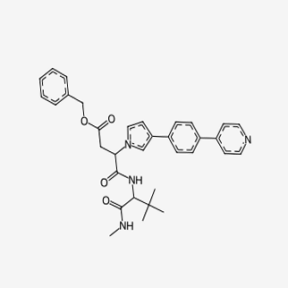 CNC(=O)C(NC(=O)C(CC(=O)OCc1ccccc1)n1ccc(-c2ccc(-c3ccncc3)cc2)c1)C(C)(C)C